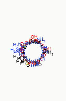 CCCC[C@H]1C(=O)N(C)[C@@H](CCCC)C(=O)N[C@@H](CCCNC(=N)N)C(=O)NC(C(=O)NCC(N)=O)CSCC(=O)N[C@@H](Cc2ccc(O)cc2)C(=O)N(C)[C@@H](C)C(=O)N[C@@H](CC(N)=O)C(=O)N2CCC[C@H]2C(=O)N[C@@H](CCO)C(=O)N[C@@H](CC(C)C)C(=O)N2CCC[C@H]2C(=O)N[C@@H](Cc2c[nH]c3ccccc23)C(=O)N[C@@H](CO)C(=O)N[C@@H](Cc2csc3ccccc23)C(=O)N1C